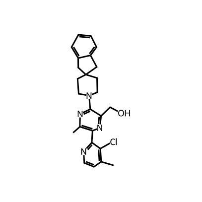 Cc1ccnc(-c2nc(CO)c(N3CCC4(CC3)Cc3ccccc3C4)nc2C)c1Cl